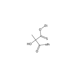 CCCC(=O)C(C)(O)C(=S)OCC